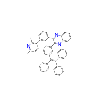 Cc1ccc(-c2cccc(-c3nc4ccccc4nc3-c3cccc(C(=C(c4ccccc4)c4ccccc4)c4ccccc4)c3)c2)c(C)n1